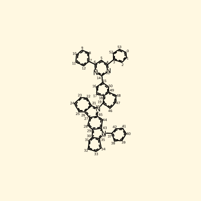 c1ccc(-c2cc(-c3ccccc3)nc(-c3ccc4c(-n5c6ccccc6c6cc7c8ccccc8n(-c8ccccc8)c7cc65)cccc4c3)n2)cc1